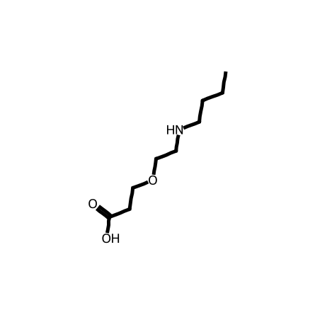 CCCCNCCOCCC(=O)O